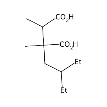 CCC(CC)CC(C)(C(=O)O)C(C)C(=O)O